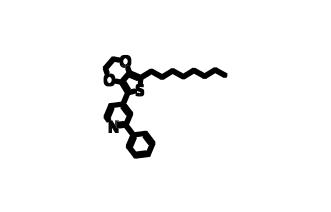 CCCCCCCCc1sc(-c2ccnc(-c3ccccc3)c2)c2c1OCCO2